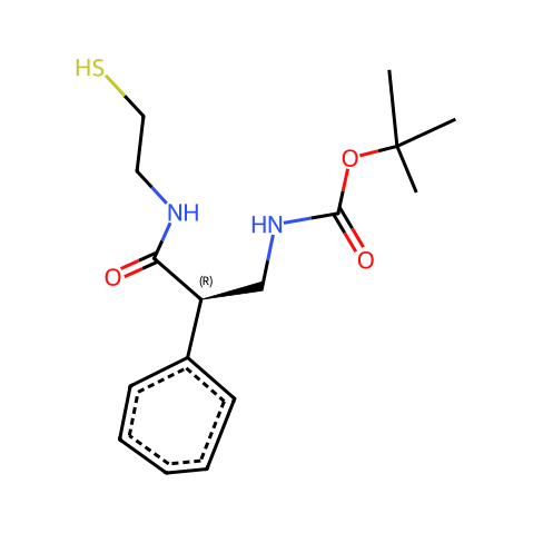 CC(C)(C)OC(=O)NC[C@H](C(=O)NCCS)c1ccccc1